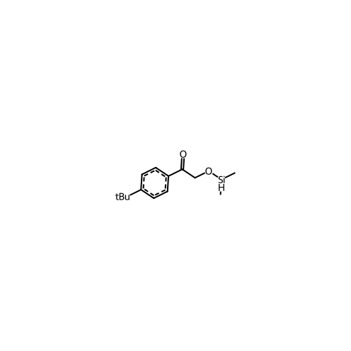 C[SiH](C)OCC(=O)c1ccc(C(C)(C)C)cc1